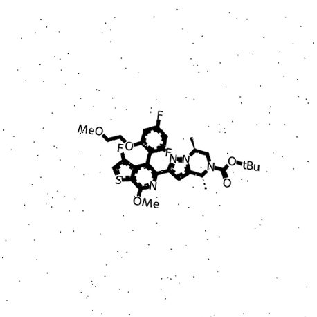 COCCOc1cc(F)cc(F)c1-c1c(-c2cc3n(n2)[C@@H](C)CN(C(=O)OC(C)(C)C)[C@@H]3C)nc(OC)c2scc(F)c12